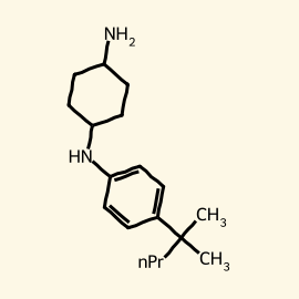 CCCC(C)(C)c1ccc(NC2CCC(N)CC2)cc1